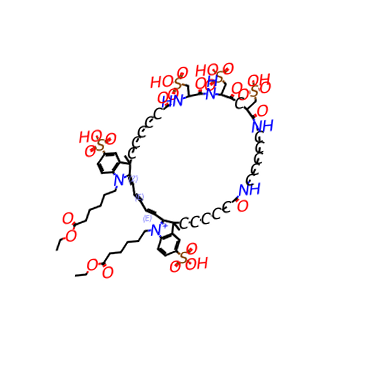 CCOC(=O)CCCCCN1\C2=C/C=C/C=C/C3=[N+](CCCCCC(=O)OCC)c4ccc(S(=O)(=O)O)cc4C3(C)CCCCCC(=O)NCCCCCNC(=O)C(CS(=O)(=O)O)CC(=O)C(CS(=O)(=O)O)NC(=O)C(CS(=O)(=O)O)NC(=O)CCCCCC2(C)c2cc(S(=O)(=O)O)ccc21